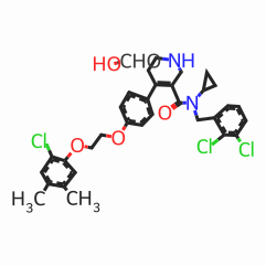 Cc1cc(Cl)c(OCCOc2ccc(C3=C(C(=O)N(Cc4cccc(Cl)c4Cl)C4CC4)CNCC3)cc2)cc1C.O=CO